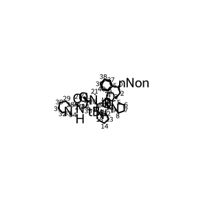 CCCCCCCCCC(CC(=O)[C@@H]1CCCN1C(=O)[C@@H]1CCCN1C[C@H](C(C)C)N(C)C(=O)[C@@H](NC(=O)[C@H]1CCCCN1C)C(C)(C)C)c1ccccc1